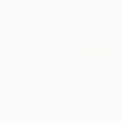 Oc1cccnc1C#Cc1cccc(-c2c3cccc(C(F)(F)F)c3nn2Cc2c(F)cc(F)cc2F)c1